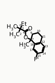 CCC(C)(C)C(=O)OC1(C)CCCc2ccc(F)cc21